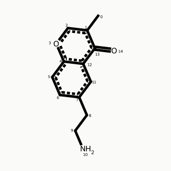 Cc1coc2ccc(CCN)cc2c1=O